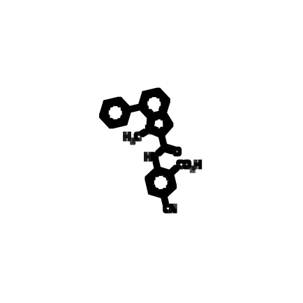 Cn1c(C(=O)Nc2ccc(C#N)cc2C(=O)O)cc2cccc(-c3ccccc3)c21